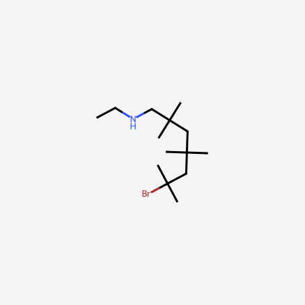 CCNCC(C)(C)CC(C)(C)CC(C)(C)Br